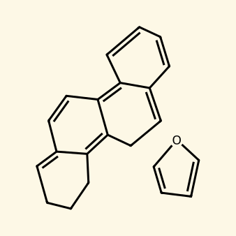 C1=c2ccc3c(c2CCC1)CC=c1ccccc1=3.c1ccoc1